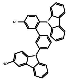 N#Cc1ccc(-n2c3ccccc3c3ccccc32)c(-c2cccc(-n3c4ccccc4c4cc(C#N)ccc43)c2)c1